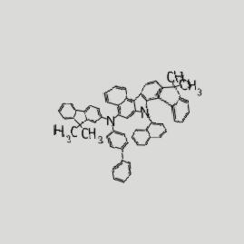 CC1(C)c2ccccc2-c2ccc(N(c3ccc(-c4ccccc4)cc3)c3cc4c(c5ccccc35)c3ccc5c(c3n4-c3cccc4ccccc34)-c3ccccc3C5(C)C)cc21